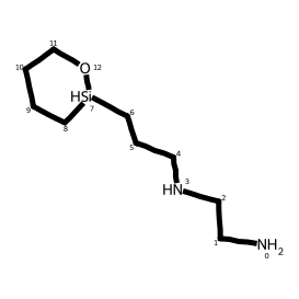 NCCNCCC[SiH]1CCCCO1